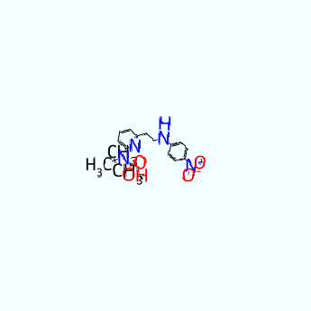 CC(C)(C)N(C(=O)O)c1cccc(CCNc2ccc([N+](=O)[O-])cc2)n1